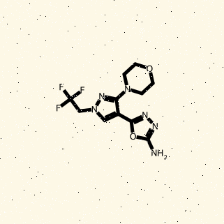 Nc1nnc(-c2cn(CC(F)(F)F)nc2N2CCOCC2)o1